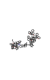 C=CCC[C@@H]1O[C@@H]([C@H](/C=C/C(O)CC[C@H]2CC(=C)[C@H](CC[C@H]3C[C@@H](C)C(=C)[C@@H](C[C@@H]4O[C@H]5C[C@@H](O[Si](c6ccccc6)(c6ccccc6)C(C)(C)C)[C@@H](CCO[Si](c6ccccc6)(c6ccccc6)C(C)(C)C)O[C@H]5[C@H](C)[C@H]4OCc4ccc(OC)cc4)O3)O2)O[Si](C)(C)C(C)(C)C)[C@@H](O[Si](C)(C)C(C)(C)C)[C@@H](O[Si](C)(C)C(C)(C)C)[C@H]1O[Si](C)(C)C(C)(C)C